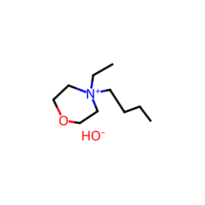 CCCC[N+]1(CC)CCOCC1.[OH-]